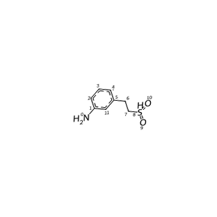 Nc1cc[c]c(CC[SH](=O)=O)c1